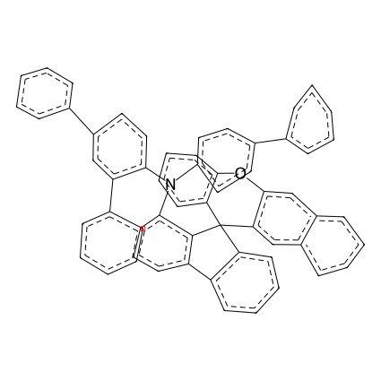 c1ccc(-c2ccc(N(c3ccc(-c4ccccc4)cc3-c3ccccc3)c3cccc4c3C3(c5ccccc5Oc5cc6ccccc6cc53)c3ccccc3-4)cc2)cc1